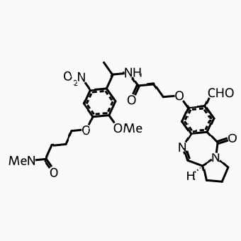 CNC(=O)CCCOc1cc([N+](=O)[O-])c(C(C)NC(=O)CCOc2cc3c(cc2C=O)C(=O)N2CCC[C@H]2C=N3)cc1OC